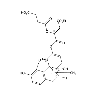 CCOC(=O)C[C@H](OC(=O)CCC(=O)O)C(=O)OC1=CC[C@@]2(O)[C@H]3Cc4ccc(O)c5c4C2(CCC3C)[C@H]1O5